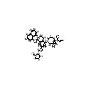 C=CC(=O)[C@]12CCCN(c3nc(OC[C@@H]4CCCN4C)nc4c3CCN(c3cccc5cccc(Cl)c35)C4)C[C@H]1C2